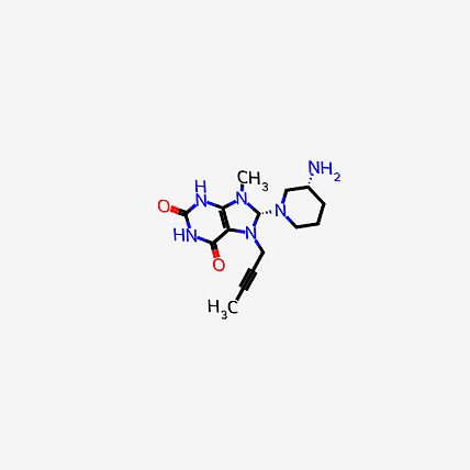 CC#CCN1c2c([nH]c(=O)[nH]c2=O)N(C)[C@@H]1N1CCC[C@@H](N)C1